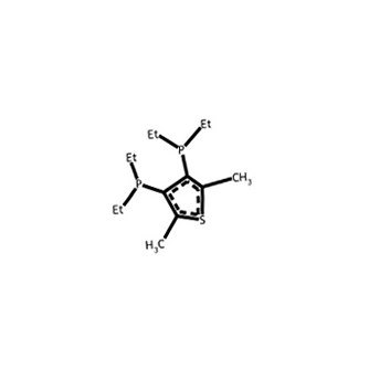 CCP(CC)c1c(C)sc(C)c1P(CC)CC